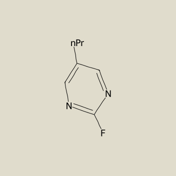 CCCc1cnc(F)nc1